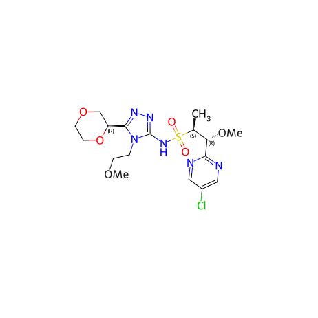 COCCn1c(NS(=O)(=O)[C@@H](C)[C@H](OC)c2ncc(Cl)cn2)nnc1[C@@H]1COCCO1